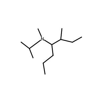 CCCC(C(C)CC)N(C)C(C)C